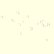 Cc1cnc(C)c(N2C[C@@H]3CCN(C(=O)c4ccc(F)cc4-n4nccn4)C[C@@H]32)n1